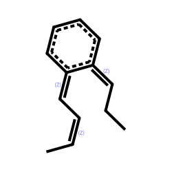 C\C=C/C=c1/cccc/c1=C/CC